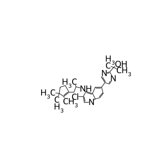 CC1=C(CC(C)Nc2c(Cl)cnc3ccc(-c4cnc(C(C)(C)O)nc4)cc23)CCC1(C)C